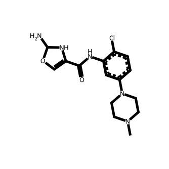 CN1CCN(c2ccc(Cl)c(NC(=O)C3=COC(N)N3)c2)CC1